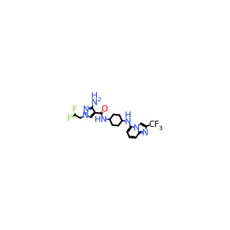 Nc1nn(CC(F)F)cc1C(=O)NC1CCC(Nc2cccc3nc(C(F)(F)F)cn23)CC1